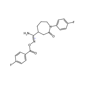 N/C(=N\OC(=O)c1ccc(F)cc1)C1CCCN(c2ccc(F)cc2)C(=O)C1